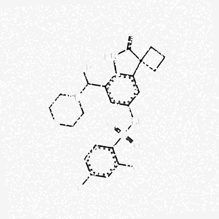 O=C1Nc2c(C(O)N3CCOCC3)cc(NS(=O)(=O)c3ccc(F)cc3F)cc2C12CCC2